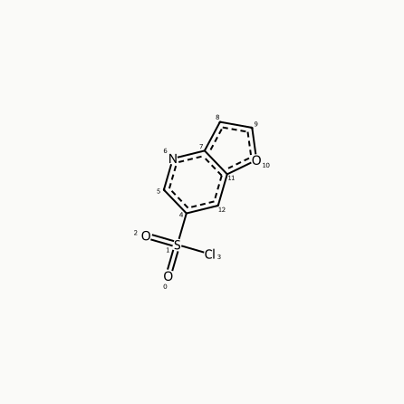 O=S(=O)(Cl)c1cnc2ccoc2c1